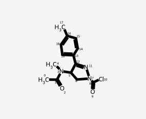 CC(=O)N(C)C1CN(C(=O)Cl)N=C1c1ccc(C)cc1